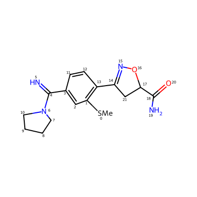 CSc1cc(C(=N)N2CCCC2)ccc1C1=NOC(C(N)=O)C1